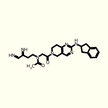 CC(=O)N(CCC(=N)C=N)CC(=O)N1CCc2nc(NC3Cc4ccccc4C3)ncc2C1